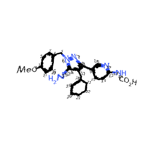 COc1ccc(Cn2nc(-c3ccc(NC(=O)O)nc3)c(C3=CCCCC3)c2N)cc1